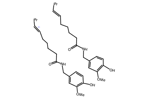 COc1cc(CNC(=O)CCCC/C=C/C(C)C)ccc1O.COc1cc(CNC(=O)CCCCC=CC(C)C)ccc1O